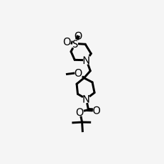 COC1(CN2CCS(=O)(=O)CC2)CCN(C(=O)OC(C)(C)C)CC1